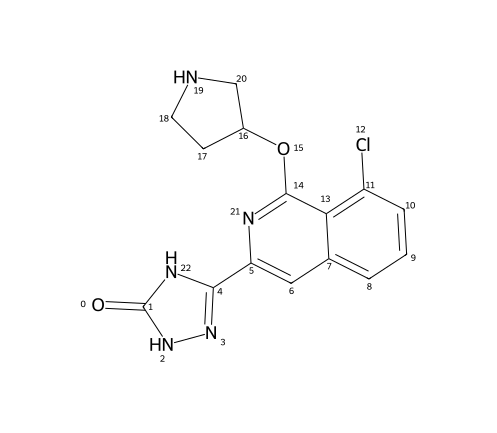 O=c1[nH]nc(-c2cc3cccc(Cl)c3c(OC3CCNC3)n2)[nH]1